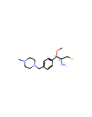 CO[C@H](c1ccc(CN2CCN(C)CC2)cc1)[C@H](N)CF